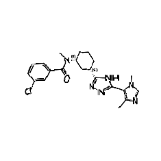 Cc1ncn(C)c1-c1nnc([C@H]2CCC[C@@H](N(C)C(=O)c3cccc(Cl)c3)C2)[nH]1